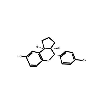 Oc1ccc([C@@H]2Oc3ccc(O)cc3[C@H]3CCC[C@H]32)cc1